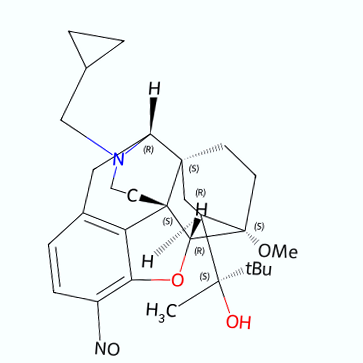 CO[C@@]12CC[C@@]3(C[C@@H]1[C@](C)(O)C(C)(C)C)[C@H]1Cc4ccc(N=O)c5c4[C@@]3(CCN1CC1CC1)[C@H]2O5